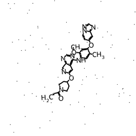 C=CC(=O)N1CCC(Oc2cc3c(Nc4cc(C)c(Oc5ccn6ncnc6c5)cc4OC)ncnc3cn2)CC1